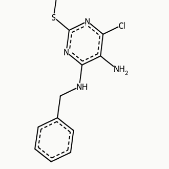 CCCSc1nc(Cl)c(N)c(NCc2ccccc2)n1